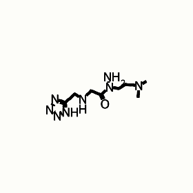 CN(C)CCN(N)C(=O)CNCc1nnn[nH]1